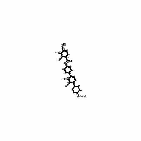 CCCCCC1CCC(c2ccc(-c3ccc(OC(=O)c4ccc(OCC)c(F)c4F)cc3)c(F)c2F)CC1